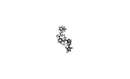 Cc1ncc(C(=O)NCCN2CCCC23CCC3)cc1NC(=O)c1cnn2cc(-c3c(C)nn(C)c3C)sc12